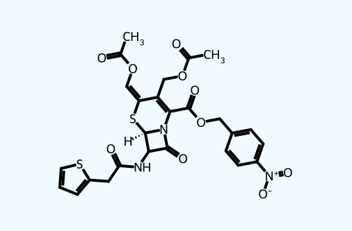 CC(=O)O/C=C1/S[C@@H]2C(NC(=O)Cc3cccs3)C(=O)N2C(C(=O)OCc2ccc([N+](=O)[O-])cc2)=C1COC(C)=O